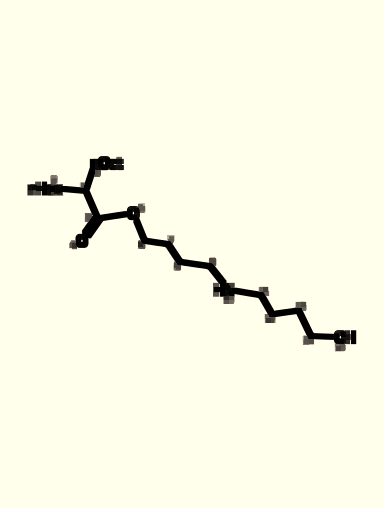 CCCCCCCCC(CCCCCC)C(=O)OCCCCNCCCCO